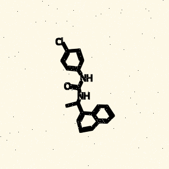 CC(NC(=O)Nc1ccc(Cl)cc1)c1cccc2ccccc12